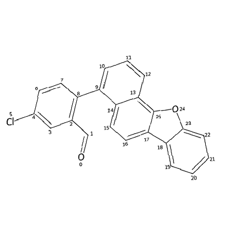 O=Cc1cc(Cl)ccc1-c1cccc2c1ccc1c3ccccc3oc21